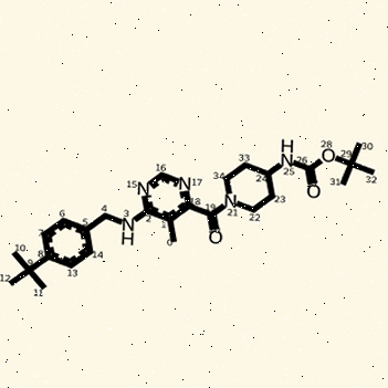 Cc1c(NCc2ccc(C(C)(C)C)cc2)ncnc1C(=O)N1CCC(NC(=O)OC(C)(C)C)CC1